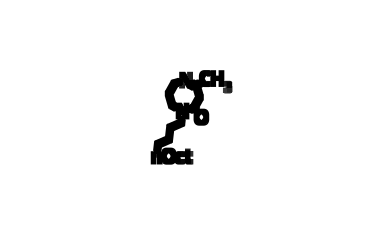 CCCCCCCCCCCCN1CCC/N=C(/C)CC1=O